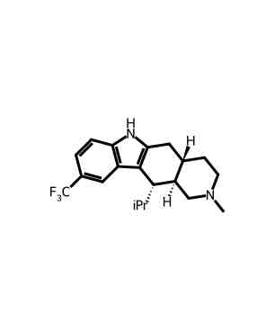 CC(C)[C@@H]1c2c([nH]c3ccc(C(F)(F)F)cc23)C[C@@H]2CCN(C)C[C@H]21